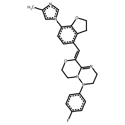 Cc1cn(-c2ccc(/C=C3\OCCN4C3=NCCN4c3ccc(F)cc3)c3c2OCC3)cn1